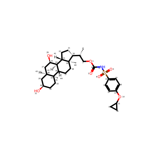 C[C@H](COC(=O)NS(=O)(=O)c1ccc(OC2CC2)cc1)[C@H]1CC[C@H]2[C@@H]3[C@H](O)C[C@@H]4C[C@H](O)CC[C@]4(C)[C@H]3CC[C@]12C